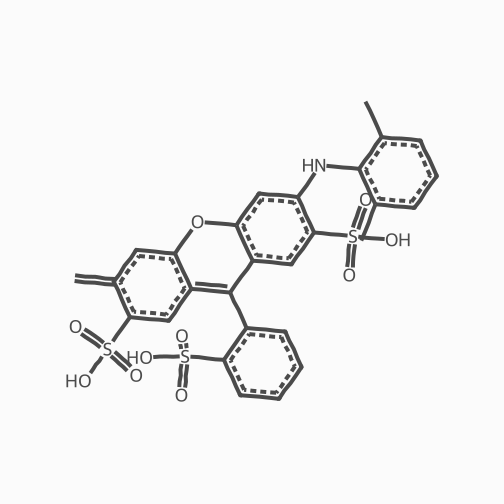 C=c1cc2c(cc1S(=O)(=O)O)=C(c1ccccc1S(=O)(=O)O)c1cc(S(=O)(=O)O)c(Nc3c(C)cccc3C)cc1O2